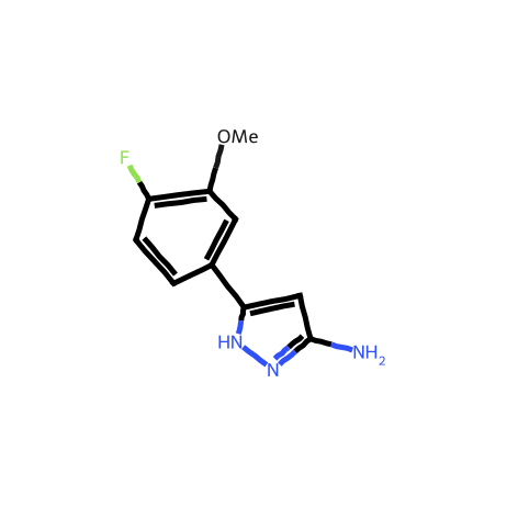 COc1cc(-c2cc(N)n[nH]2)ccc1F